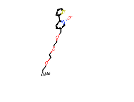 COCCOCCOCCOCc1ccc(-c2cccs2)[n+]([O-])c1